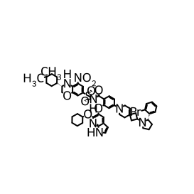 CC(C)c1ccccc1[C@@H]1CCCN1C1CC2(CCN(c3ccc(C(=O)NS(=O)(=O)c4cc5c(c([N+](=O)[O-])c4)N[C@@H](C4CCC(C)(C)CC4)CO5)c(Oc4cc5cc[nH]c5nc4OC4CCCCC4)c3)CC2)C1